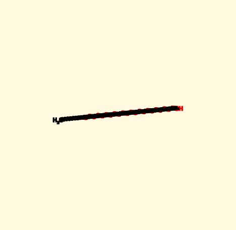 CCCCCCCCCCCCCCCCCCOCCOCCOCCOCCOCCOCCOCCOCCOCCOCCOCCOCCOCCOCCOCCOCCOCCOCCOCCOCCOCCOCCO